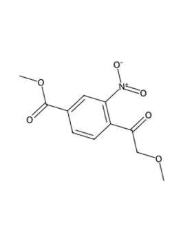 COCC(=O)c1ccc(C(=O)OC)cc1[N+](=O)[O-]